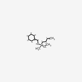 CCCC[Si](C)(OC)OCC1CCCCC1